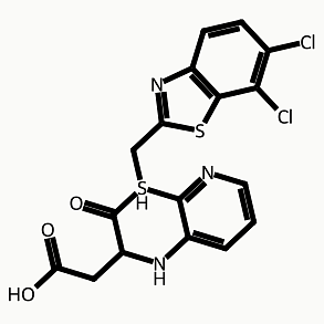 O=C(O)CC1Nc2cccnc2[SH](Cc2nc3ccc(Cl)c(Cl)c3s2)C1=O